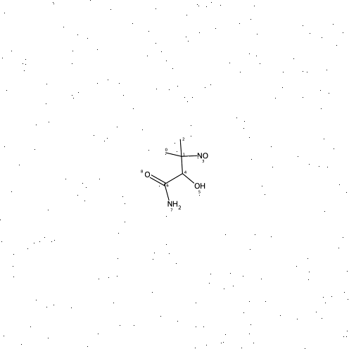 CC(C)(N=O)C(O)C(N)=O